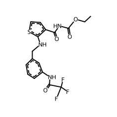 CCOC(=O)NC(=O)c1ccsc1NCc1cccc(NC(=O)C(F)(F)F)c1